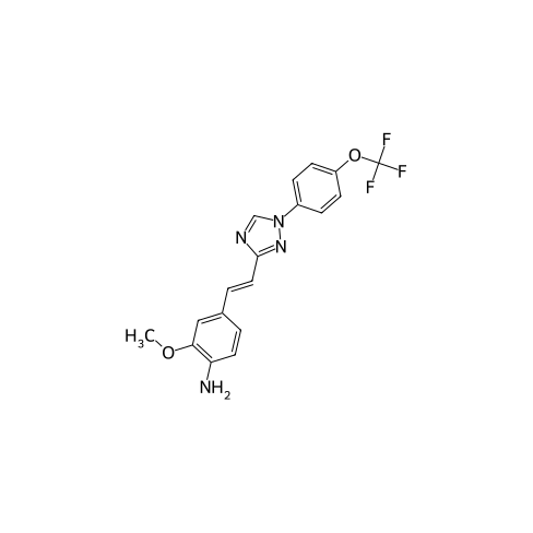 COc1cc(/C=C/c2ncn(-c3ccc(OC(F)(F)F)cc3)n2)ccc1N